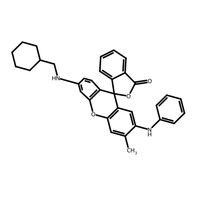 Cc1cc2c(cc1Nc1ccccc1)C1(OC(=O)c3ccccc31)c1ccc(NCC3CCCCC3)cc1O2